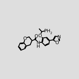 CC(P)Oc1cc(-c2cnco2)ccc1NC(=O)C1COc2ccccc2C1